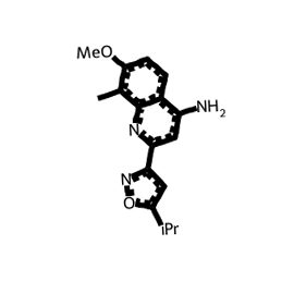 COc1ccc2c(N)cc(-c3cc(C(C)C)on3)nc2c1C